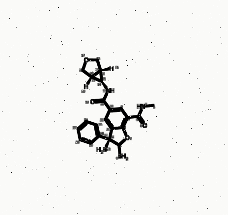 BC1Oc2c(C(=O)NC)cc(C(=O)N[C@H]3[C@@H]4COC[C@@H]43)cc2[C@@]1(B)c1ccccc1